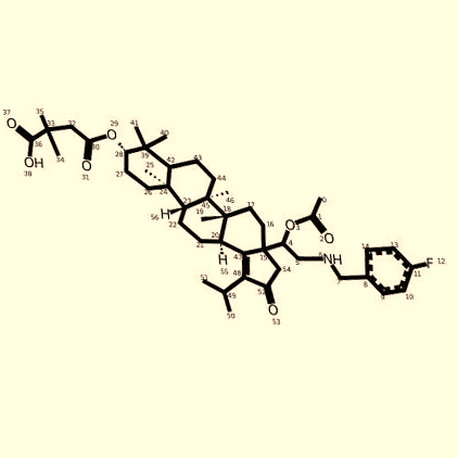 CC(=O)OC(CNCc1ccc(F)cc1)C12CC[C@]3(C)[C@H](CC[C@@H]4[C@@]5(C)CC[C@H](OC(=O)CC(C)(C)C(=O)O)C(C)(C)C5CC[C@]43C)C1=C(C(C)C)C(=O)C2